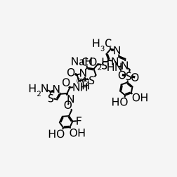 CC1=NC2=CN(CS(=O)(=O)c3ccc(O)c(O)c3)NN2C(SCC2=C(C(=O)O)N3C(=O)[C@@H](NC(=O)C(=NOCc4ccc(O)c(O)c4F)c4csc(N)n4)[C@H]3SC2)=C1.[NaH]